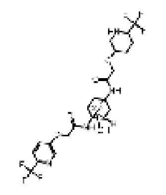 O=C(COC1CCC(C(F)(F)F)NC1)NC12CCC(NC(=O)COc3ccc(C(F)(F)F)nc3)(CC1)[C@@H](O)C2